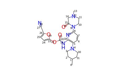 CC1CCN(c2ccc(N3CCN(C)CC3=O)nc2NC(=O)Oc2ccc(C#N)o2)CC1